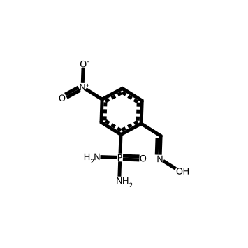 NP(N)(=O)c1cc([N+](=O)[O-])ccc1C=NO